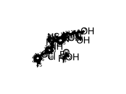 O=C(O)C(F)(F)F.OCCN(CCO)C[C@@H](O)Cn1cc2c(n1)CCc1c-2sc2ncnc(Nc3ccc(OCc4cccc(F)c4)c(Cl)c3)c12